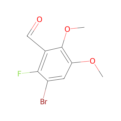 COc1cc(Br)c(F)c(C=O)c1OC